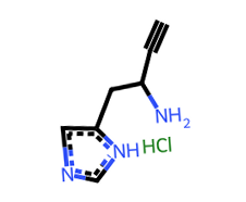 C#CC(N)Cc1cnc[nH]1.Cl